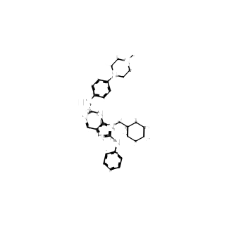 CN1CCN(c2ccc(N[C@@H]3N=Cc4nc(Nc5ccccc5)n(CC5CCCCC5)c4N3)cc2)CC1